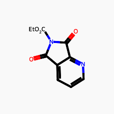 CCOC(=O)N1C(=O)c2cccnc2C1=O